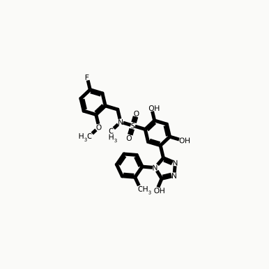 COc1ccc(F)cc1CN(C)S(=O)(=O)c1cc(-c2nnc(O)n2-c2ccccc2C)c(O)cc1O